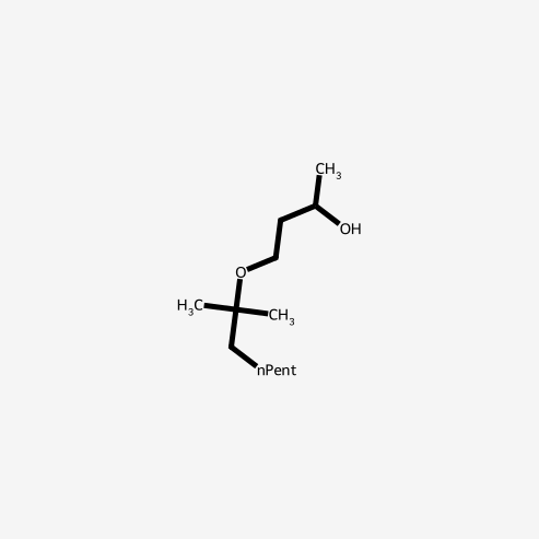 CCCCCCC(C)(C)OCCC(C)O